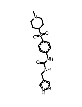 CN1CCC(S(=O)(=O)c2ccc(NC(=O)NCc3cn[nH]c3)cc2)CC1